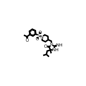 CC(=O)c1cccc(S(=O)(=O)N2CCC(CN3C(=N)NC(C)(CC(C)C)C3=O)CC2)c1